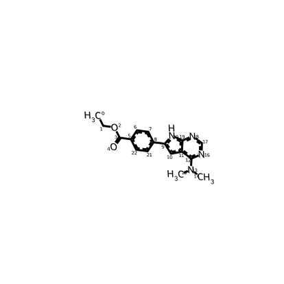 CCOC(=O)c1ccc(-c2cc3c(N(C)C)ncnc3[nH]2)cc1